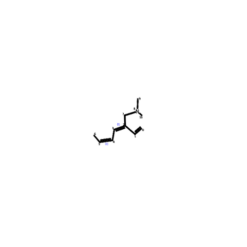 C=C/C(=C\C=C/C)CN(C)C